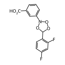 O=C(O)c1cccc(N2OOC(c3ccc(F)cc3F)O2)c1